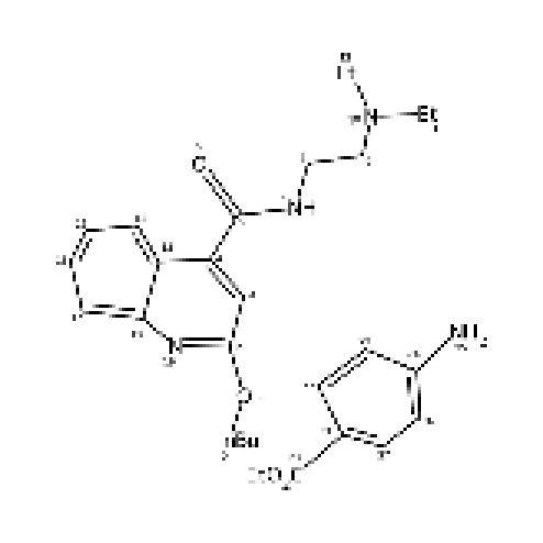 CCCCOc1cc(C(=O)NCCN(CC)CC)c2ccccc2n1.CCOC(=O)c1ccc(N)cc1